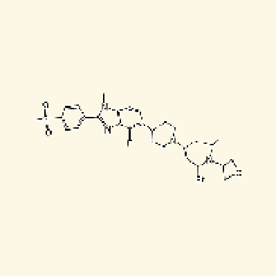 CCC1CC(N2CCC(c3ccc4c(nc(-c5ccc(S(C)(=O)=O)cc5)n4C)c3F)CC2)CC(C)N1C1COC1